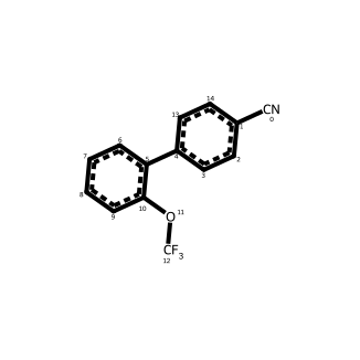 N#Cc1ccc(-c2ccccc2OC(F)(F)F)cc1